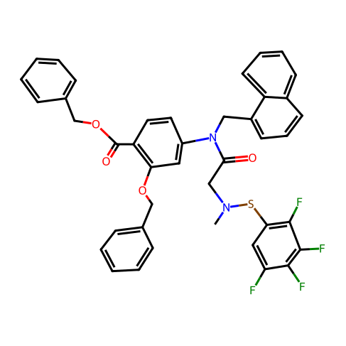 CN(CC(=O)N(Cc1cccc2ccccc12)c1ccc(C(=O)OCc2ccccc2)c(OCc2ccccc2)c1)Sc1cc(F)c(F)c(F)c1F